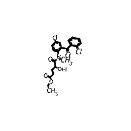 CCOC(=O)CCC(O)C(=O)N(C)c1ccc(Cl)cc1C(=O)c1ccccc1Cl